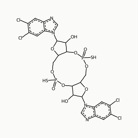 O=P1(S)OCC2OC(n3cnc4cc(Cl)c(Cl)cc43)C(O)C2OP(=O)(S)OCC2OC(n3cnc4cc(Cl)c(Cl)cc43)C(O)C2O1